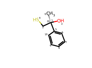 C[C@@](O)(CS)c1ccccc1